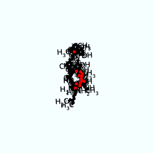 C=CCC(CC)CCCN/C(N)=N/c1ccc(CN2C3[C@H](C)O[C@@H](OC4C(O)C(O)[C@@H](CO)O[C@H]4Oc4c5cc(cc4Oc4ccc(CCC(=O)N[C@H](C(=O)O)c6cc(O)cc(O)c6-c6cc(CNC)ccc6C)cc4Cl)[C@H](C=O)NC(=O)[C@H](CC(N)=O)NC(=O)[C@H](NC(=O)CNC)[C@H](O)c4ccc(cc4)O5)CC32C)cc1